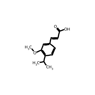 COc1cc(C=CC(=O)O)ccc1C(C)C